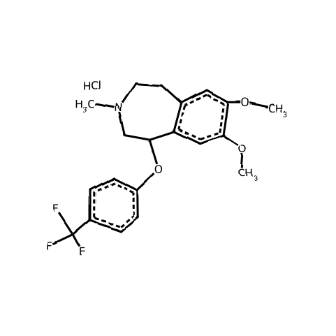 COc1cc2c(cc1OC)C(Oc1ccc(C(F)(F)F)cc1)CN(C)CC2.Cl